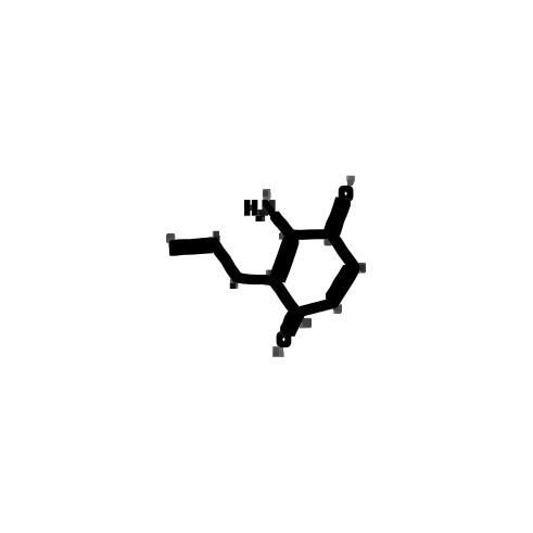 C=CCC1=C(N)C(=O)C=CC1=O